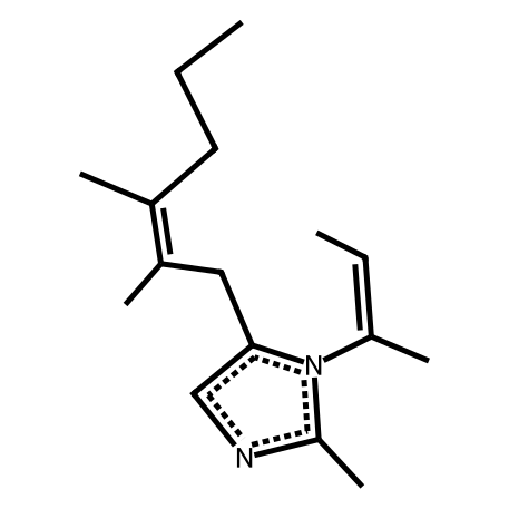 C/C=C(/C)n1c(C/C(C)=C(/C)CCC)cnc1C